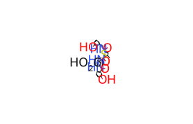 Cc1cc(C(=O)NCc2cccc(O)c2)sc1C(=O)N[C@@H](CNC(=O)c1cccc(O)c1)C(=O)O